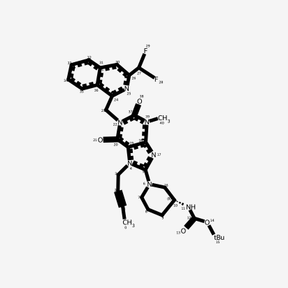 CC#CCn1c(N2CCC[C@@H](NC(=O)OC(C)(C)C)C2)nc2c1c(=O)n(Cc1nc(C(F)F)cc3ccccc13)c(=O)n2C